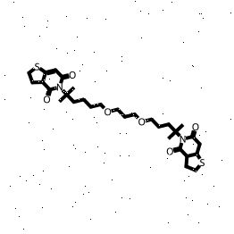 CC(C)(CCCCOCCCOCCCC(C)(C)N1C(=O)CC2SCCC2C1=O)N1C(=O)C=C2SCCC2C1=O